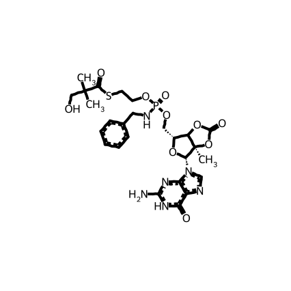 CC(C)(CO)C(=O)SCCOP(=O)(NCc1ccccc1)OC[C@H]1O[C@@H](n2cnc3c(=O)[nH]c(N)nc32)[C@]2(C)OC(=O)OC12